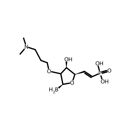 B[C@@H]1O[C@H](/C=C/P(=O)(O)O)[C@H](O)C1OCCCN(C)C